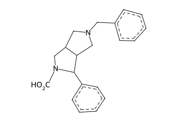 O=C(O)N1CC2CN(Cc3ccccc3)CC2C1c1ccccc1